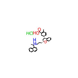 Cc1ccc([C@H]2C[C@@H](CCCNC(C)c3cccc4ccccc34)Oc3ccccc32)cc1C(=O)O.Cl